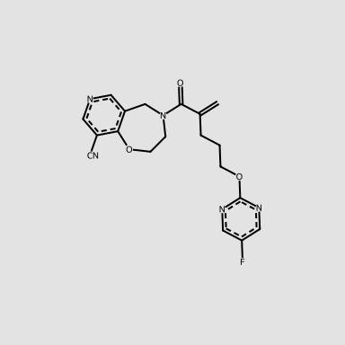 C=C(CCCOc1ncc(F)cn1)C(=O)N1CCOc2c(C#N)cncc2C1